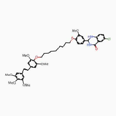 COc1cc(C2NC(=O)c3cc(Cl)ccc3N2)ccc1OCCCCCCCCCOc1c(OC)cc(C=Cc2cc(OC)c(OC)c(OC)c2)cc1OC